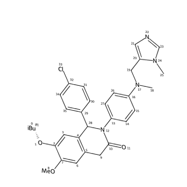 CC[C@@H](C)Oc1cc2c(cc1OC)CC(=O)N(c1ccc(N(C)Cc3cncn3C)cc1)C2c1ccc(Cl)cc1